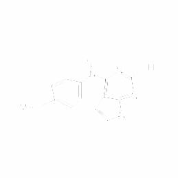 COc1ccc(N(C)c2nc(C)nc3[nH]ccc23)cc1